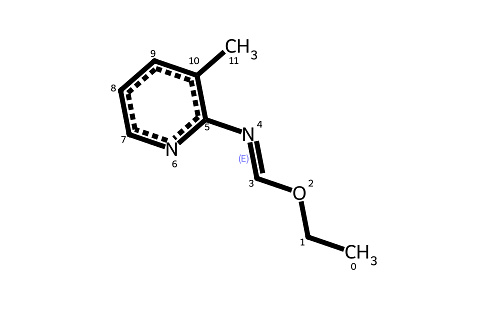 CCO/C=N/c1ncccc1C